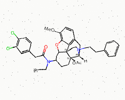 COc1ccc2c3c1OC1C(N(CC(C)C)C(=O)Cc4ccc(Cl)c(Cl)c4)CC[C@@]4(OC(C)=O)[C@@H](C2)N(CCc2ccccc2)CC[C@]314